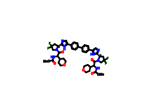 COC(=O)NC(C(=O)N1CC(F)(F)C[C@H]1c1ncc(-c2ccc(-c3ccc(-c4cnc([C@@H]5CC(F)(F)CN5C(=O)C(NC(=O)OC)C5CCOCC5)[nH]4)cc3)cc2)[nH]1)C1CCOCC1